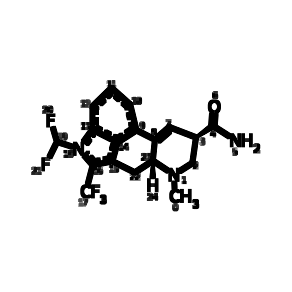 CN1C[C@H](C(N)=O)C=C2c3cccc4c3c(c(C(F)(F)F)n4C(F)F)C[C@H]21